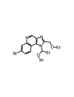 CCOCc1nc2cnc3cc(Br)ccc3c2n1C(CC)OC(C)C